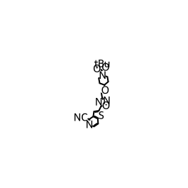 CC(C)(C)OC(=O)N1CCC(OCc2noc(-c3cc4c(C#N)nccc4s3)n2)CC1